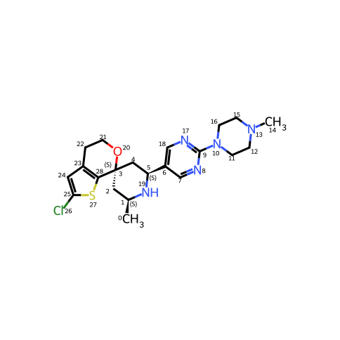 C[C@H]1C[C@@]2(C[C@@H](c3cnc(N4CCN(C)CC4)nc3)N1)OCCc1cc(Cl)sc12